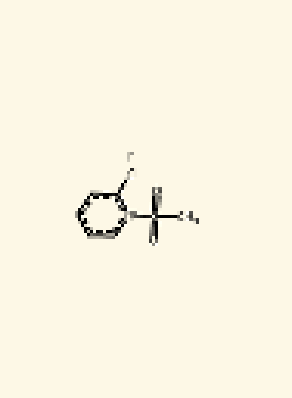 CS(=O)(=O)[n+]1ccccc1Cl.[I-]